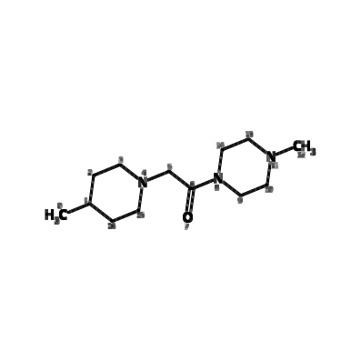 CC1CCN(CC(=O)N2CCN(C)CC2)CC1